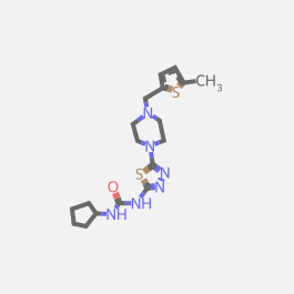 Cc1ccc(CN2CCN(c3nnc(NC(=O)NC4CCCC4)s3)CC2)s1